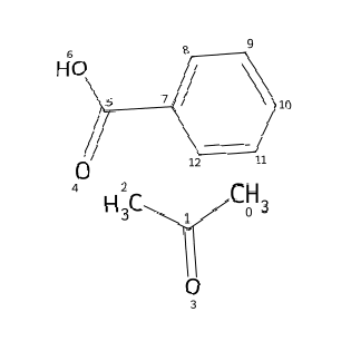 CC(C)=O.O=C(O)c1ccccc1